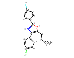 O=C(O)CCc1oc(-c2ccc(F)cc2)nc1-c1ccc(Cl)cc1